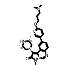 C[C@@H]1CN(c2c(=O)n(C)n3cnc4ccc(-c5ccc(OCCCN(C)C)nc5)cc4c23)C[C@H](C)N1